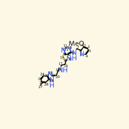 COc1cccnc1CNc1ncnc2sc(CCNCCc3nc4ccc(C)cc4[nH]3)nc12